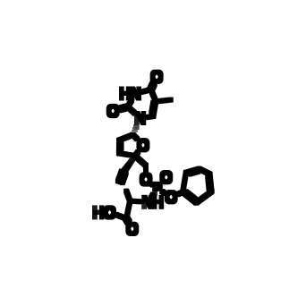 C#C[C@@]1(COP(=O)(NC(C)C(=O)O)Oc2ccccc2)C=C[C@H](n2cc(C)c(=O)[nH]c2=O)O1